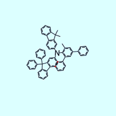 Cc1cc(-c2ccccc2)cc(-c2ccccc2)c1N(c1ccc2c(c1)C(C)(C)c1ccccc1-2)c1ccc2c(c1)C(c1ccccc1)(c1ccccc1)c1ccccc1-2